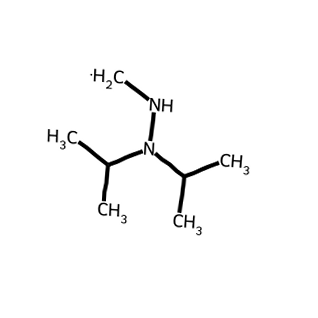 [CH2]NN(C(C)C)C(C)C